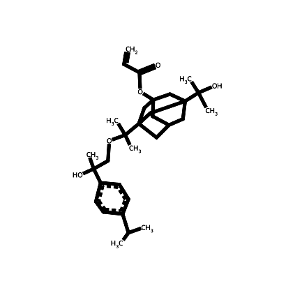 C=CC(=O)OC12CC3CC(C(C)(C)O)(C1)CC(C(C)(C)OCC(C)(O)c1ccc(C(C)C)cc1)(C3)C2